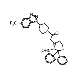 O=CC1N(CC(=O)N2CCC(n3nnc4cc(C(F)(F)F)ccc43)CC2)CCCC1(c1ccccc1)c1ccccc1